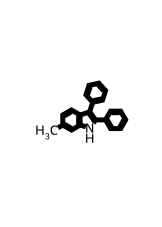 Cc1ccc2c(-c3ccccc3)c(-c3ccccc3)[nH]c2c1